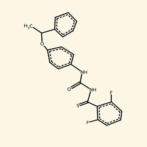 CC(Oc1ccc(NC(=O)NC(=S)c2c(F)cccc2F)cc1)c1ccccc1